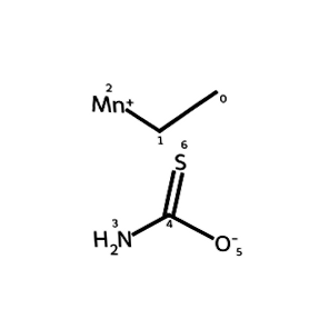 C[CH2][Mn+].NC([O-])=S